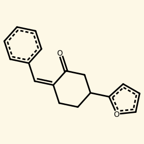 O=C1CC(c2ccco2)CC/C1=C/c1ccccc1